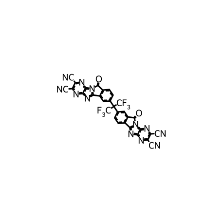 N#Cc1nc2nc3n(c2nc1C#N)C(=O)c1cc(C(c2ccc4c(c2)-c2nc5nc(C#N)c(C#N)nc5n2C4=O)(C(F)(F)F)C(F)(F)F)ccc1-3